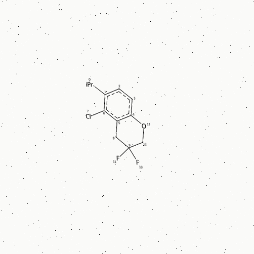 CC(C)c1ccc2c(c1Cl)CC(F)(F)CO2